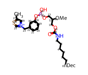 CCCCCCCCCCCCCCCCNC(=O)OCC(COP(O)Oc1cccc(C[n+]2csc(C)c2)c1)OC